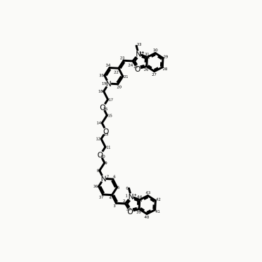 C[n+]1c(C=C2C=CN(CCOCCOCCOCCN3C=CC(=Cc4oc5ccccc5[n+]4C)C=C3)C=C2)oc2ccccc21